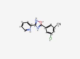 N#Cc1cc(Cl)cc(-c2nc(-c3ccccn3)no2)c1